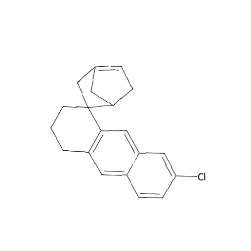 Clc1ccc2cc3c(cc2c1)C1(CCC3)CC2=CCC1C2